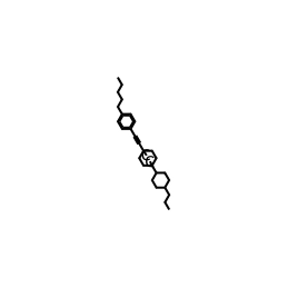 CCCCCc1ccc(C#CC23CCC(C4CCC(CCC)CC4)(CC2)CC3)cc1